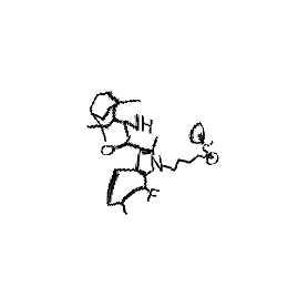 Cc1ccc2c(C(=O)NC3C4(C)CCC(C4)C3(C)C)c(C)n(CCCS(C)(=O)=O)c2c1F